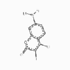 CCN(CC)c1ccc2c(Cl)c(I)c(=O)oc2c1